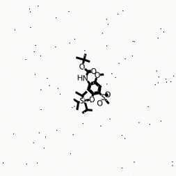 COc1cc(S(C)(=O)=O)c(O[Si](C(C)C)(C(C)C)C(C)C)cc1NC(=O)OC(C)(C)C